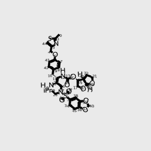 Cc1nc(COc2ccc(C[C@H](NC(=O)O[C@H]3CO[C@H]4OCC[C@H]43)[C@H](N)CN(CC(C)C)S(=O)(=O)c3ccc4c(c3)OCO4)cc2)cs1